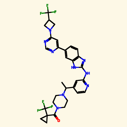 CC(c1ccnc(Nc2nc3ccc(-c4cc(N5CC(C(F)(F)F)C5)ncn4)cc3[nH]2)c1)N1CCN(C(=O)C2(C(F)(F)F)CC2)CC1